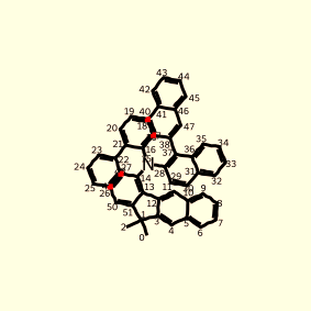 CC1(C)c2cc3ccccc3cc2-c2c(N(c3ccccc3-c3ccccc3)c3ccc4ccccc4c3-c3ccc4ccccc4c3)cccc21